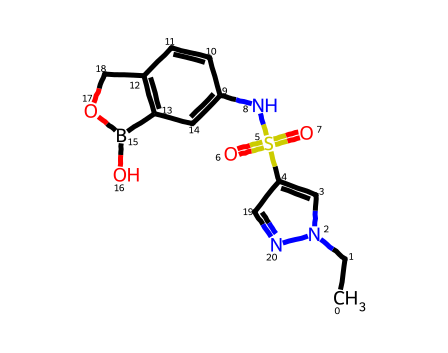 CCn1cc(S(=O)(=O)Nc2ccc3c(c2)B(O)OC3)cn1